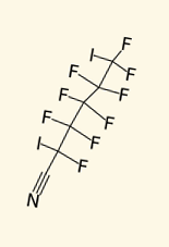 N#CC(F)(I)C(F)(F)C(F)(F)C(F)(F)C(F)(F)I